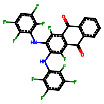 O=C1c2ccccc2C(=O)c2c(F)c(Nc3c(F)c(F)cc(F)c3F)c(Nc3c(F)c(F)cc(F)c3F)c(F)c21